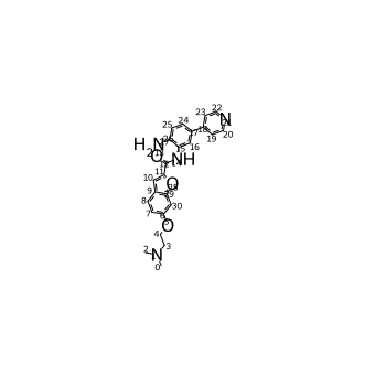 CN(C)CCOc1ccc2cc(C(=O)Nc3cc(-c4ccncc4)ccc3N)oc2c1